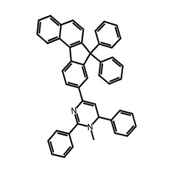 CN1C(c2ccccc2)=NC(c2ccc3c(c2)C(c2ccccc2)(c2ccccc2)c2ccc4ccccc4c2-3)=CC1c1ccccc1